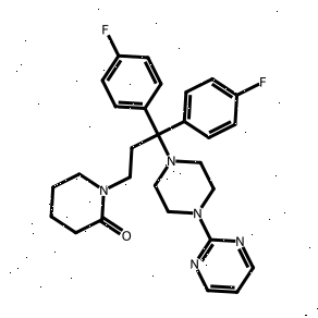 O=C1CCCCN1CCC(c1ccc(F)cc1)(c1ccc(F)cc1)N1CCN(c2ncccn2)CC1